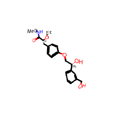 CCO[C@H](Cc1ccc(OC[C@H](O)c2cccc(CO)c2)cc1)C(=O)NOC